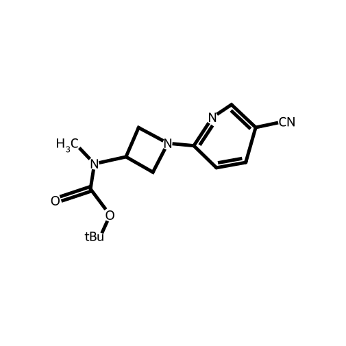 CN(C(=O)OC(C)(C)C)C1CN(c2ccc(C#N)cn2)C1